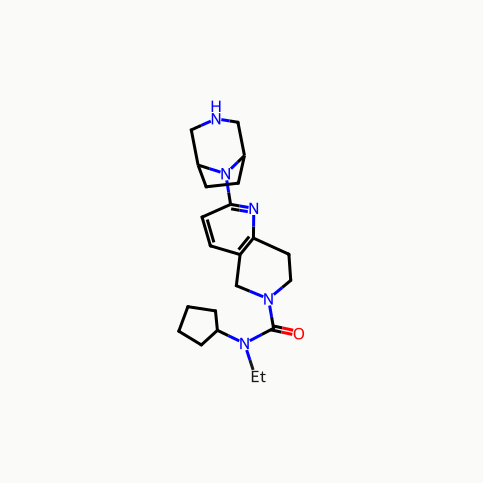 CCN(C(=O)N1CCc2nc(N3C4CCC3CNC4)ccc2C1)C1CCCC1